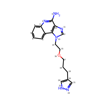 Nc1nc2ccccc2c2c1ncn2CCOCCCc1cn[nH]c1